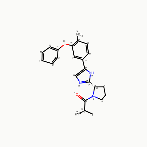 CC(C)[C@H](C)C(=O)N1CCC[C@H]1c1ncc(-c2ccc([N+](=O)[O-])c(Oc3ccccc3)c2)[nH]1